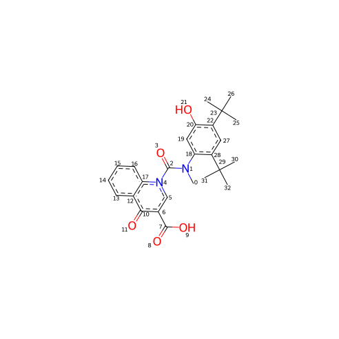 CN(C(=O)n1cc(C(=O)O)c(=O)c2ccccc21)c1cc(O)c(C(C)(C)C)cc1C(C)(C)C